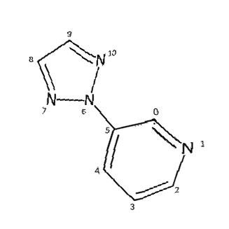 [c]1ncccc1-n1nccn1